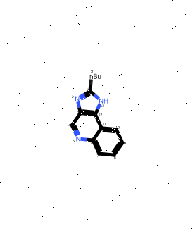 CCCCc1nc2cnc3ccccc3c2[nH]1